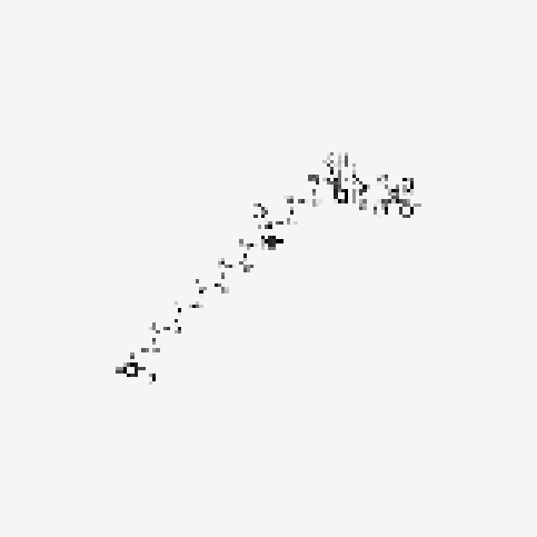 CCCCCCCCCCCCNC(=O)CCCC[N+](C)(C)CCCS(=O)(=O)[O-]